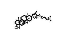 CC(C=NOCCN(C)C)=C[C@]1(O)CC[C@@]2(C)[C@H](CC[C@@H]3[C@@H]2CC[C@]2(C)[C@H](O)CC[C@]32O)C1